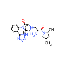 CC1CC(C#N)N(C(=O)C(N)CN2C[C@@H]3CC2C(=O)N3c2ccccc2-c2nnn[nH]2)C1